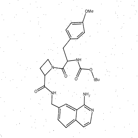 COc1ccc(CC(NC(=O)OC(C)(C)C)C(=O)N2CCC2C(=O)NCc2ccc3ccnc(N)c3c2)cc1